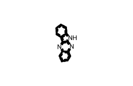 c1ccc2nc3c(nc2c1)[nH]c1ccccc13